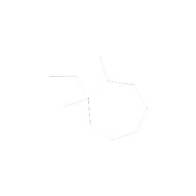 CCC1(C)CCCCC[C]1C